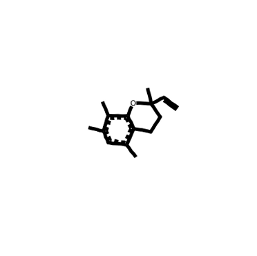 C=CC1(C)CCc2c(C)cc(C)c(C)c2O1